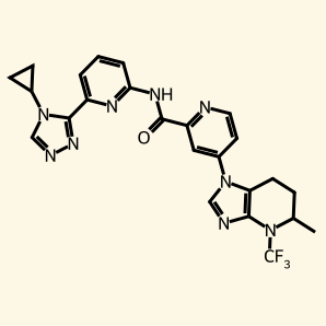 CC1CCc2c(ncn2-c2ccnc(C(=O)Nc3cccc(-c4nncn4C4CC4)n3)c2)N1C(F)(F)F